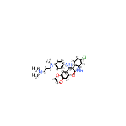 CC(=O)N(CCCN(C)C)c1ccc(NC(=C2C(=O)Nc3cc(Cl)ccc32)c2ccc3c(c2)OC=CO3)cc1